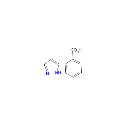 O=S(=O)(O)c1ccccc1.c1cn[nH]c1